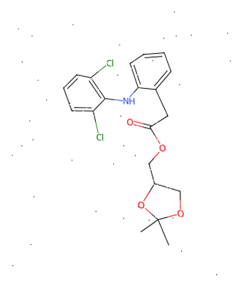 CC1(C)OCC(COC(=O)Cc2ccccc2Nc2c(Cl)cccc2Cl)O1